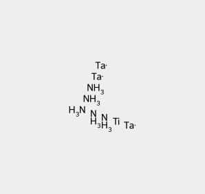 N.N.N.N.N.[Ta].[Ta].[Ta].[Ti]